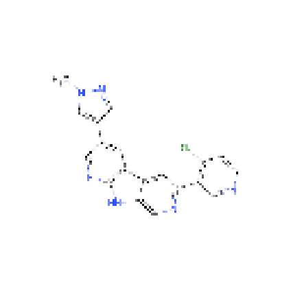 Cn1cc(-c2cnc3[nH]c4cnc(-c5cnccc5Cl)cc4c3c2)cn1